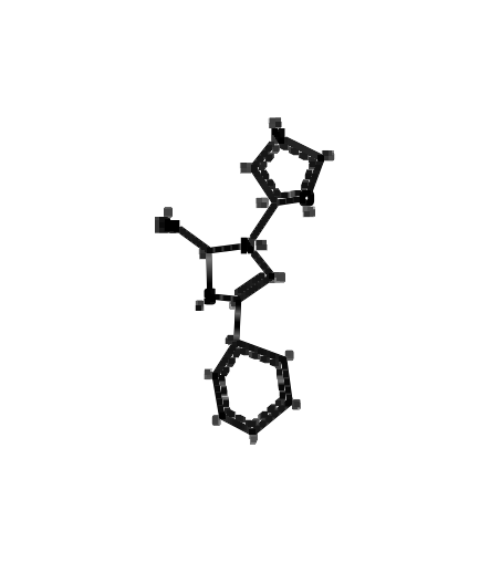 CCC(C)C1SC(c2ccccc2)=[C]N1c1cnco1